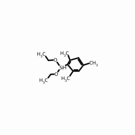 CCO[SiH](OCC)c1c(C)cc(C)cc1C